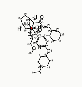 CCN1CCC(Oc2ccc(S(=O)(=O)N3C[C@H]4CC[C@@H]([C@@H]3C(=O)NOC3CCCCO3)N4C(=O)OCCOC)cn2)CC1